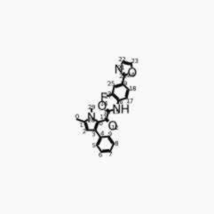 Cc1cc(-c2ccccc2)c(C(=O)C(=O)Nc2ccc(-c3ncco3)cc2F)n1C